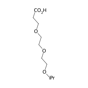 CC(C)OCCOCCOCCC(=O)O